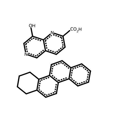 O=C(O)c1ccc2cncc(O)c2n1.c1ccc2c(c1)ccc1c3c(ccc12)CCCC3